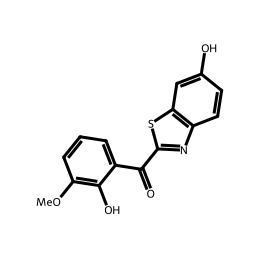 COc1cccc(C(=O)c2nc3ccc(O)cc3s2)c1O